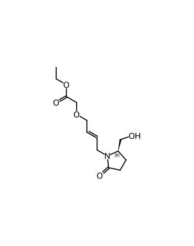 CCOC(=O)COCC=CCN1C(=O)CC[C@@H]1CO